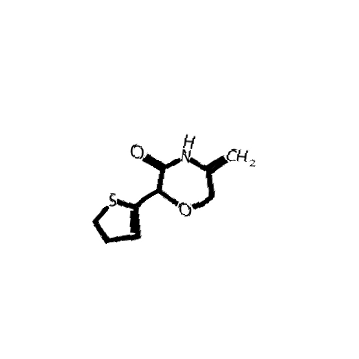 C=C1COC(C2=CCCS2)C(=O)N1